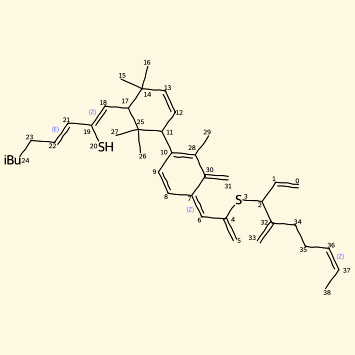 C=CC(SC(=C)/C=c1/ccc(C2C=CC(C)(C)C(/C=C(S)/C=C/CC(C)CC)C2(C)C)c(C)c1=C)C(=C)CC/C=C\C